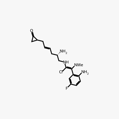 CN/C(=C(/Cl)NC[C@@H](N)C/C=C/CC1CC1=O)c1cc(F)ccc1N